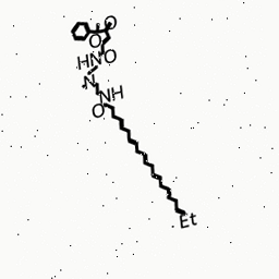 CCC=CCC=CCC=CCC=CCC=CCC=CCCC(=O)NCCN(C)CCNC(=O)C1=CC(=O)C(C)(c2ccccc2)O1